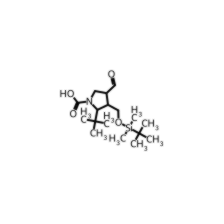 CC(C)(C)C1C(CO[Si](C)(C)C(C)(C)C)C(C=O)CN1C(=O)O